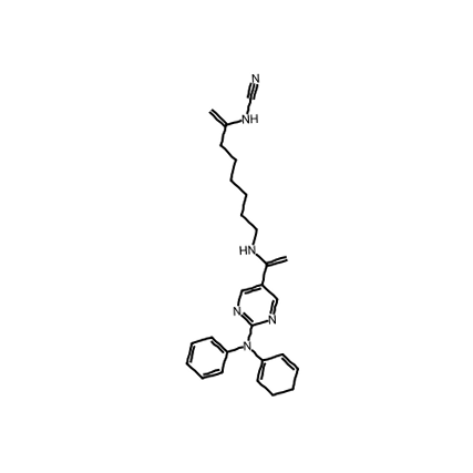 C=C(CCCCCCNC(=C)c1cnc(N(C2=CCCC=C2)c2ccccc2)nc1)NC#N